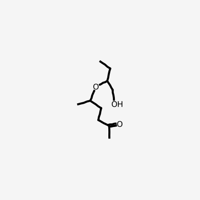 CCC(CO)OC(C)CCC(C)=O